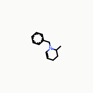 CC1CCC=CN1Cc1ccccc1